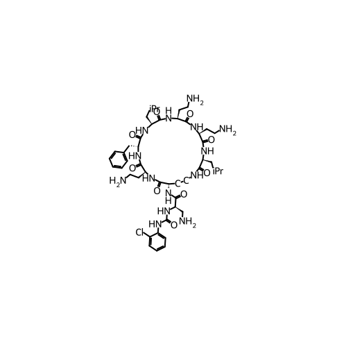 CC(C)C[C@@H]1NC(=O)[C@H](CCN)NC(=O)[C@H](CCN)NC(=O)[C@H](CC(C)C)NC(=O)[C@@H](Cc2ccccc2)NC(=O)[C@H](CCN)NC(=O)[C@@H](NC(=O)[C@@H](CN)NC(=O)Nc2ccccc2Cl)CCNC1=O